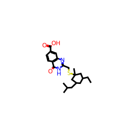 CCC1CC(CC(C)C)CC(C)(SCc2nc3cc(C(=O)O)ccc3c(=O)[nH]2)C1